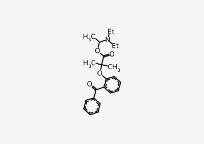 CCN(CC)C(C)OC(=O)C(C)(C)Oc1ccccc1C(=O)c1ccccc1